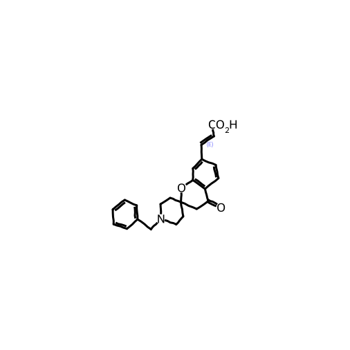 O=C(O)/C=C/c1ccc2c(c1)OC1(CCN(Cc3ccccc3)CC1)CC2=O